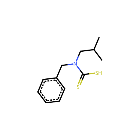 CC(C)CN(Cc1ccccc1)C(=S)S